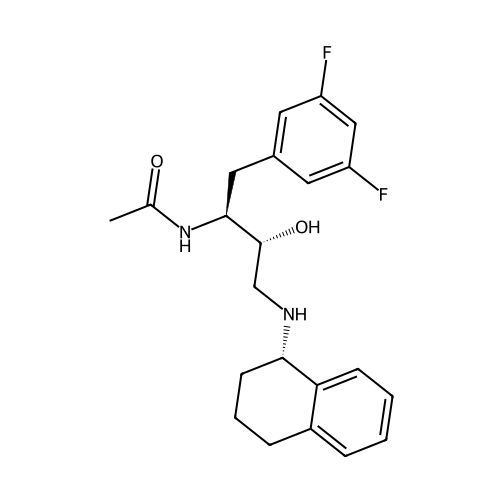 CC(=O)N[C@@H](Cc1cc(F)cc(F)c1)[C@H](O)CN[C@H]1CCCc2ccccc21